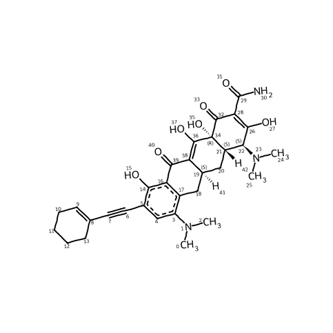 CN(C)c1cc(C#CC2=CCCCC2)c(O)c2c1C[C@@H]1C[C@H]3[C@H](N(C)C)C(O)=C(C(N)=O)C(=O)[C@]3(O)C(O)=C1C2=O